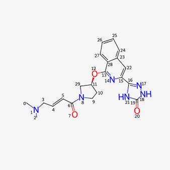 CN(C)CC=CC(=O)N1CC[C@H](Oc2nc(-c3n[nH]c(=O)[nH]3)cc3ccccc23)C1